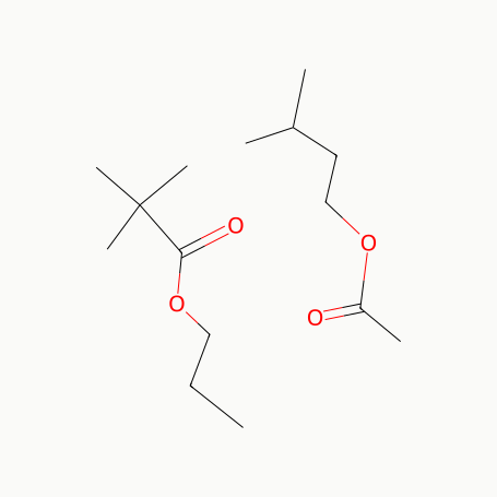 CC(=O)OCCC(C)C.CCCOC(=O)C(C)(C)C